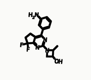 CC1C(O)CN1c1nc(-c2cccc(N)c2)c2c(n1)C(F)(F)CC2